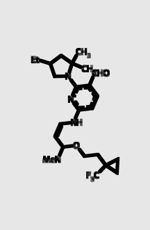 CCC1CN(c2nc(N/C=C\C(NC)OCCC3(C(F)(F)F)CC3)ccc2C=O)C(C)(C)C1